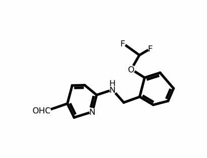 O=Cc1ccc(NCc2ccccc2OC(F)F)nc1